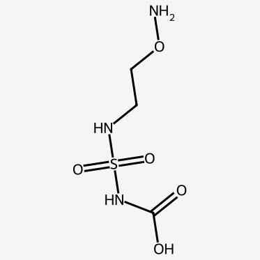 NOCCNS(=O)(=O)NC(=O)O